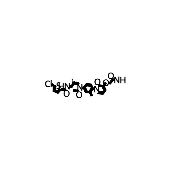 CNC(=O)COc1cccn(-c2ccc(N(C[C@@H](C)CNC(=O)c3ccc(Cl)s3)C(C)=O)cc2C)c1=O